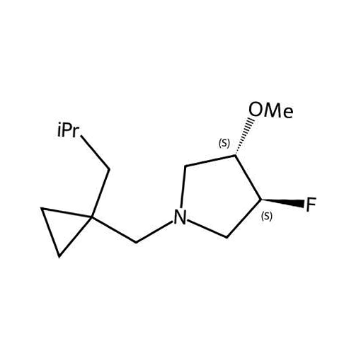 CO[C@H]1CN(CC2(CC(C)C)CC2)C[C@@H]1F